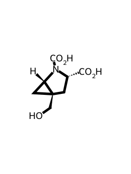 O=C(O)[C@@H]1C[C@]2(CO)C[C@@H]2N1C(=O)O